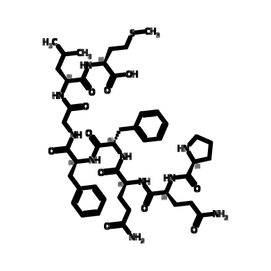 CSCC[C@H](NC(=O)[C@H](CC(C)C)NC(=O)CNC(=O)[C@H](Cc1ccccc1)NC(=O)[C@H](Cc1ccccc1)NC(=O)[C@H](CCC(N)=O)NC(=O)[C@H](CCC(N)=O)NC(=O)[C@@H]1CCCN1)C(=O)O